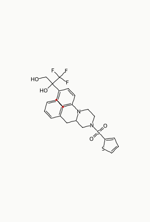 O=S(=O)(c1cccs1)N1CCN(c2ccc(C(O)(CO)C(F)(F)F)cc2)C(Cc2ccccc2)C1